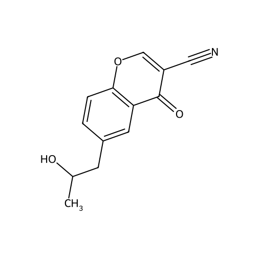 CC(O)Cc1ccc2occ(C#N)c(=O)c2c1